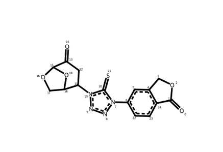 O=C1OCc2cc(-n3nnn(C4CC(=O)C5OCC4O5)c3=S)ccc21